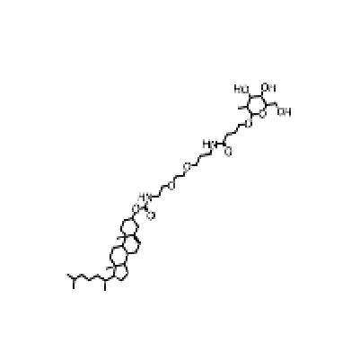 CC(C)CCC[C@H](C)[C@@H]1CCC2C3CC=C4CC(OC(=O)NCCOCCOCCCNC(=O)CCCOC5OC(CO)C(O)C(O)C5C)CC[C@@]4(C)C3CC[C@]21C